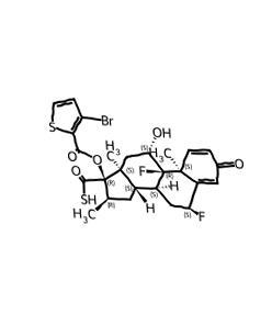 C[C@@H]1C[C@H]2[C@@H]3C[C@H](F)C4=CC(=O)C=C[C@]4(C)[C@@]3(F)[C@@H](O)C[C@]2(C)[C@@]1(OC(=O)c1sccc1Br)C(=O)S